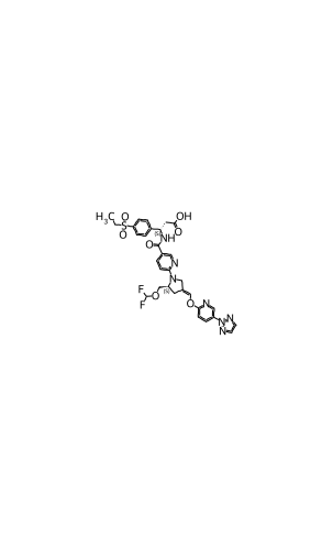 CCS(=O)(=O)c1ccc([C@H](CC(=O)O)NC(=O)c2ccc(N3CC(=COc4ccc(-n5nccn5)cn4)C[C@H]3COC(F)F)nc2)cc1